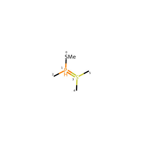 CS[PH](C)=S(C)C